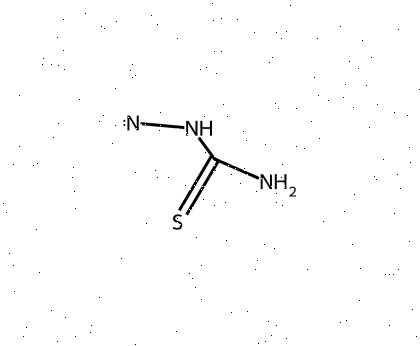 [N]NC(N)=S